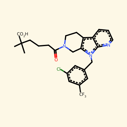 CC(C)(CCCC(=O)N1CCc2c(n(Cc3cc(Cl)cc(C(F)(F)F)c3)c3ncccc23)C1)C(=O)O